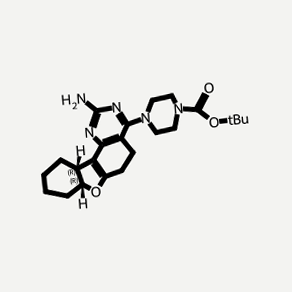 CC(C)(C)OC(=O)N1CCN(c2nc(N)nc3c2CCC2=C3[C@H]3CCCC[C@H]3O2)CC1